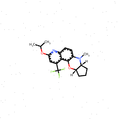 CC(C)Oc1cc(C(F)(F)F)c2c3c(ccc2n1)N(C)[C@@H]1CCC[C@@H]1O3